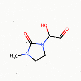 CN1CCN(C(O)C=O)C1=O